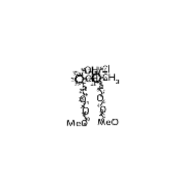 COCCOCCOCCSc1cccc(CCl)c1C.COCCOCCOCCSc1cccc(CO)c1C